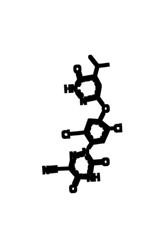 CC(C)c1cc(Oc2cc(Cl)c(-n3nc(C#N)c(=O)[nH]c3=O)cc2Cl)n[nH]c1=O